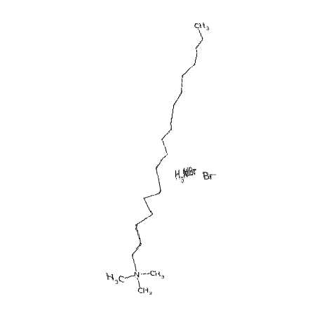 Br.CCCCCCCCCCCCCCCCC[N+](C)(C)C.N.[Br-]